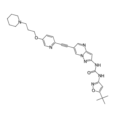 CC(C)(C)c1cc(NC(=O)Nc2cc3ncc(C#Cc4ccc(OCCCN5CCCCC5)cn4)cn3n2)no1